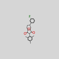 Cc1cc(C)c(C2C(=O)C3C4CC(c5cccc(F)c5)C(O4)C3C2=O)c(C)c1